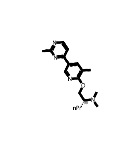 CCC[C@H](COc1ncc(-c2ccnc(C)n2)cc1C)N(C)C